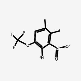 [2H]c1c(OC(F)(F)F)cc(C)c(I)c1[N+](=O)[O-]